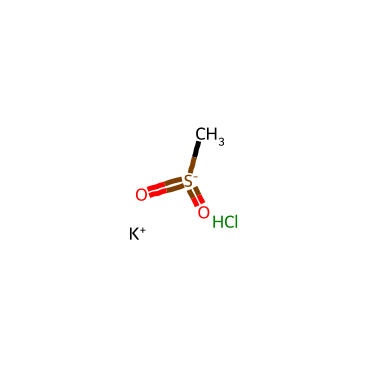 C[S-](=O)=O.Cl.[K+]